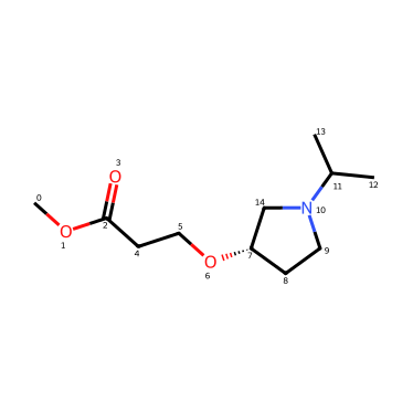 COC(=O)CCO[C@H]1CCN(C(C)C)C1